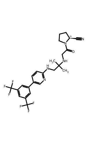 CC(C)(CNc1ccc(-c2cc(C(F)(F)F)cc(C(F)(F)F)c2)cn1)NCC(=O)N1CCC[C@H]1C#N